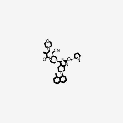 C=C(CN1CCOCC1)C(=O)N1CCN(c2nc(OC[C@@H]3CCCN3C)nc3c2CCN(c2cccc4cccc(C)c24)C3)C[C@@H]1CC#N